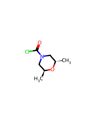 C[C@H]1CN(C(=O)Cl)C[C@H](C)O1